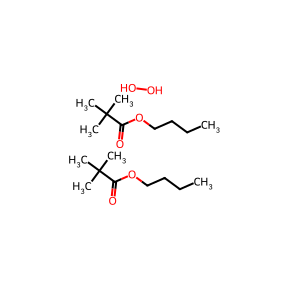 CCCCOC(=O)C(C)(C)C.CCCCOC(=O)C(C)(C)C.OO